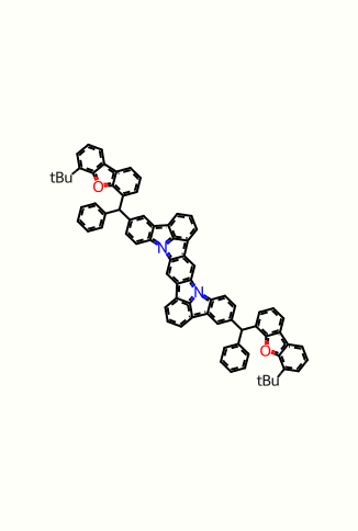 CC(C)(C)c1cccc2c1oc1c(C(c3ccccc3)c3ccc4c(c3)c3cccc5c6cc7c(cc6n4c35)c3cccc4c5cc(C(c6ccccc6)c6cccc8c6oc6c(C(C)(C)C)cccc68)ccc5n7c43)cccc12